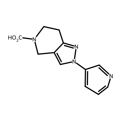 O=C(O)N1CCc2nn(-c3cccnc3)cc2C1